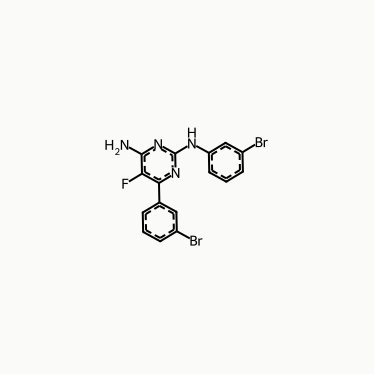 Nc1nc(Nc2cccc(Br)c2)nc(-c2cccc(Br)c2)c1F